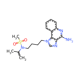 C=C(C)N(CCCCn1cnc2c(N)nc3ccccc3c21)S(C)(=O)=O